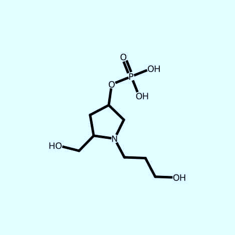 O=P(O)(O)OC1CC(CO)N(CCCO)C1